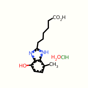 Cc1ccc(O)c2nc(CCCCCC(=O)O)[nH]c12.Cl.O